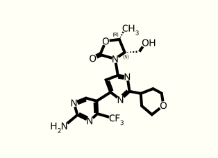 C[C@H]1OC(=O)N(c2cc(-c3cnc(N)nc3C(F)(F)F)nc(C3CCOCC3)n2)[C@H]1CO